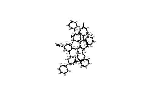 Cc1cc(C)c(-c2ccc3c4ccccc4n(-c4c(-c5cc(-c6ccccc6)nc(-c6ccccc6)n5)cc(C#N)cc4-c4cc(-c5ccccc5)nc(-c5ccccc5)n4)c3c2)c(C)c1